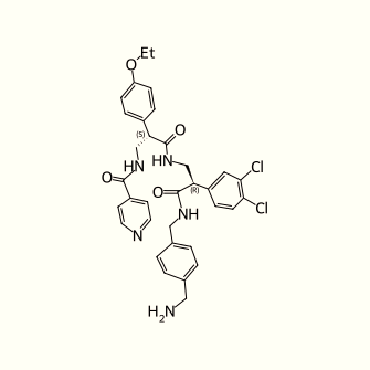 CCOc1ccc([C@@H](CNC(=O)c2ccncc2)C(=O)NC[C@H](C(=O)NCc2ccc(CN)cc2)c2ccc(Cl)c(Cl)c2)cc1